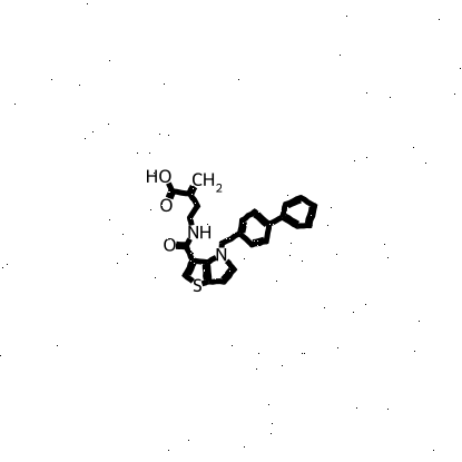 C=C(CCNC(=O)c1csc2ccn(Cc3ccc(-c4ccccc4)cc3)c12)C(=O)O